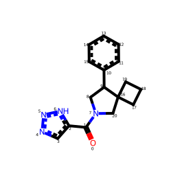 O=C(c1cnn[nH]1)N1CC(c2ccccc2)C2(CCC2)C1